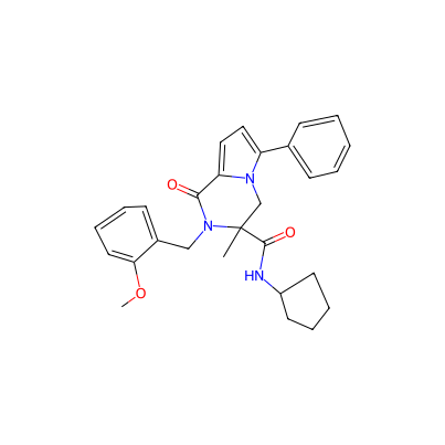 COc1ccccc1CN1C(=O)c2ccc(-c3ccccc3)n2CC1(C)C(=O)NC1CCCC1